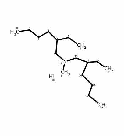 CCCCC(CC)CN(C)CC(CC)CCCC.I